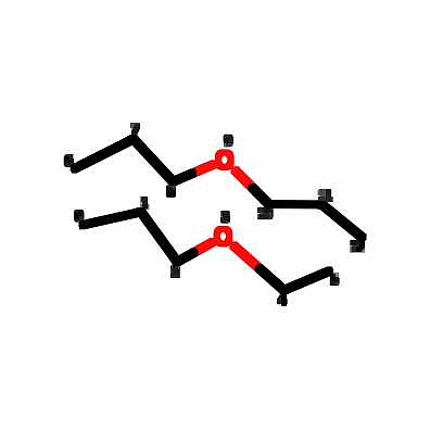 CCCOCC.CCCOCCC